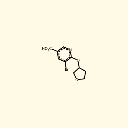 O=C(O)c1cnc(OC2CCOC2)c(Br)c1